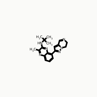 Cc1nc2cccc(-c3cc4n(n3)CCN=C4)c2nc1NC(C)(C)C